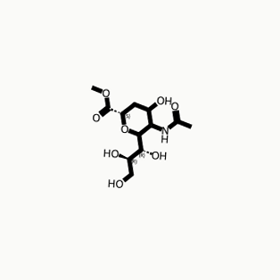 COC(=O)[C@@H]1CC(O)C(NC(C)=O)C([C@H](O)[C@H](O)CO)O1